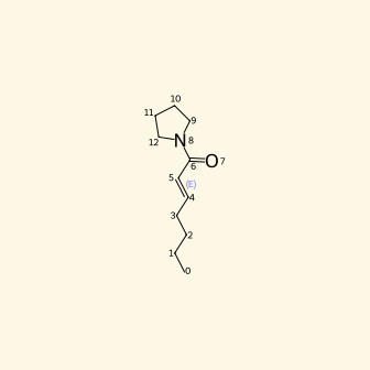 CCCC/C=C/C(=O)N1CCCC1